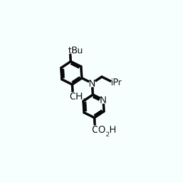 Cc1ccc(C(C)(C)C)cc1N(CC(C)C)c1ccc(C(=O)O)cn1